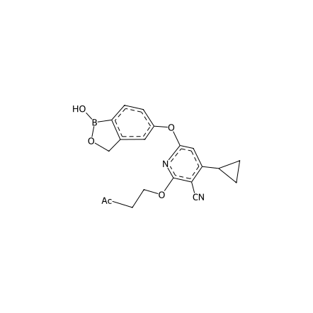 CC(=O)CCOc1nc(Oc2ccc3c(c2)COB3O)cc(C2CC2)c1C#N